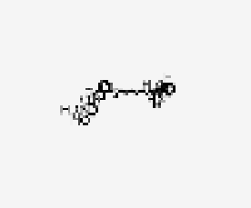 CN1C(=O)C(N2Cc3c(SCCCCCCCN[C@H]4C[C@H]5CC[C@]4(C)C5(C)C)cccc3C2=O)CCC1O